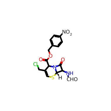 O=CNC1C(=O)N2C(C(=O)OCc3ccc([N+](=O)[O-])cc3)C(CCl)=CS[C@@H]12